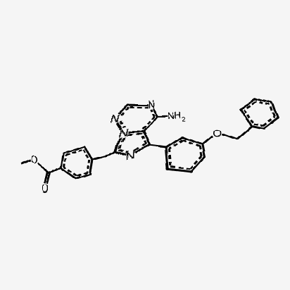 COC(=O)c1ccc(-c2nc(-c3cccc(OCc4ccccc4)c3)c3c(N)ncnn23)cc1